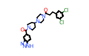 O=C(CCc1cc(Cl)cc(Cl)c1)N1CCN(C2CCN(C(=O)c3ccc4[nH]nnc4c3)CC2)CC1